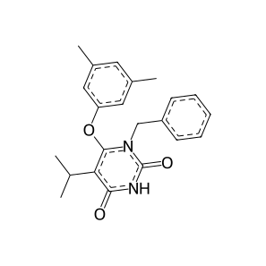 Cc1cc(C)cc(Oc2c(C(C)C)c(=O)[nH]c(=O)n2Cc2ccccc2)c1